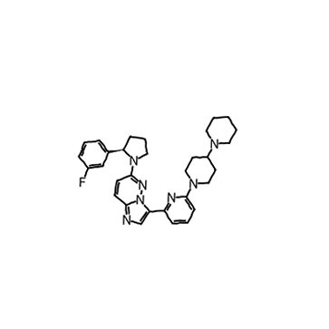 Fc1cccc([C@H]2CCCN2c2ccc3ncc(-c4cccc(N5CCC(N6CCCCC6)CC5)n4)n3n2)c1